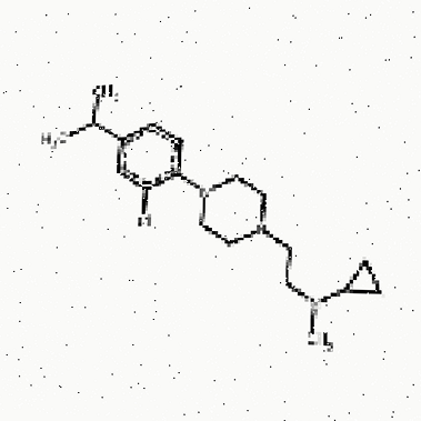 CC(C)c1ccc(N2CCN(CCN(C)C3CC3)CC2)c(Cl)c1